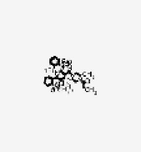 C=CC(=O)N1C[C@H](C)N(C2=NS(=O)(=O)N(c3ccccc3CCCC)c3nc(-c4ccccc4S(C)(=O)=O)c(Cl)cc32)C[C@H]1C